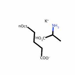 CC(N)C(=O)O.CCCCCCCCCCCC(=O)[O-].[K+]